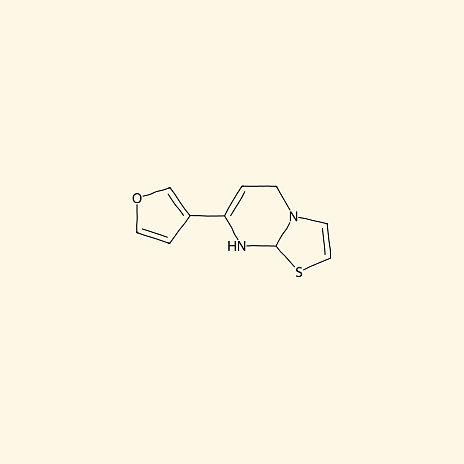 C1=CN2CC=C(c3ccoc3)NC2S1